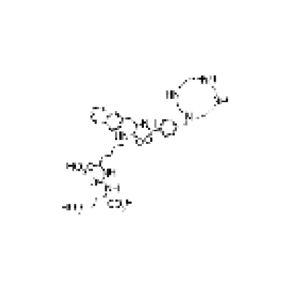 O=C(O)CCC(NC(=O)NC(CCCCNC(=O)C(Cc1ccc2ccccc2c1)NC(=O)c1ccc(CN2CCCNCCNCCCNCC2)cc1)C(=O)O)C(=O)O